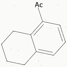 CC(=O)c1cccc2c1CCCC2